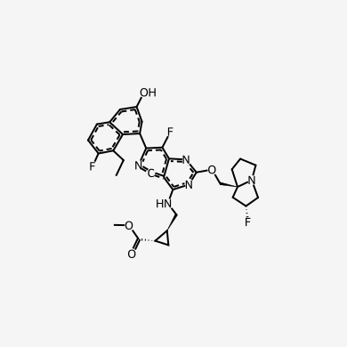 CCc1c(F)ccc2cc(O)cc(-c3ncc4c(NC[C@H]5C[C@@H]5C(=O)OC)nc(OC[C@@]56CCCN5C[C@H](F)C6)nc4c3F)c12